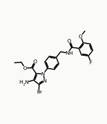 CCOC(=O)c1c(N)c(Br)nn1-c1ccc(CNC(=O)c2cc(F)ccc2OC)cc1